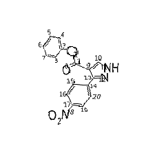 O=C(Oc1ccccc1)c1c[nH]nc1-c1ccc([N+](=O)[O-])cc1